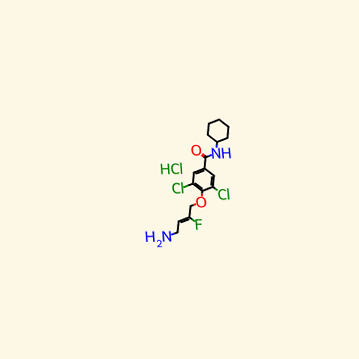 Cl.NCC=C(F)COc1c(Cl)cc(C(=O)NC2CCCCC2)cc1Cl